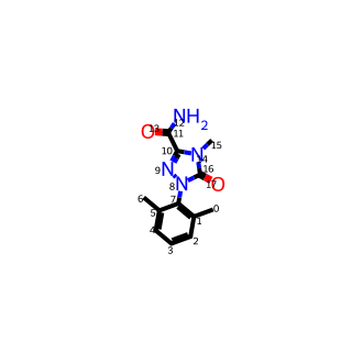 Cc1cccc(C)c1-n1nc(C(N)=O)n(C)c1=O